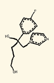 OCCCC(O)(Cn1ccnc1)c1ccc(F)cc1